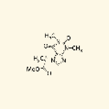 COC(=O)[C@@H](C)n1cnc2c1c(=O)n(C)c(=O)n2C